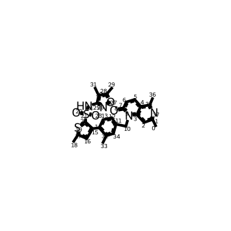 Cc1cc2c(ccc(=O)n2Cc2ccc(-c3cc(C)sc3S(=O)(=O)Nc3noc(C)c3C)c(C)c2)c(C)n1